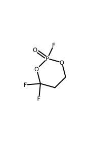 O=P1(F)OCCC(F)(F)O1